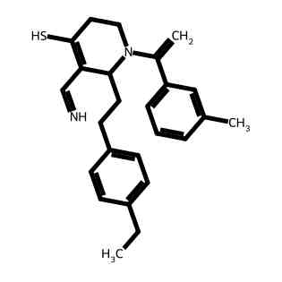 C=C(c1cccc(C)c1)N1CCC(S)=C(C=N)C1CCc1ccc(CC)cc1